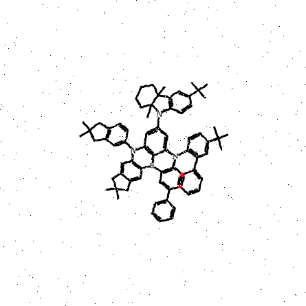 CC1(C)Cc2ccc(N3c4cc5c(cc4B4c6cc(-c7ccccc7)ccc6N(c6ccc(C(C)(C)C)cc6-c6ccccc6)c6cc(N7c8ccc(C(C)(C)C)cc8C8(C)CCCCC78C)cc3c64)CC(C)(C)C5)cc2C1